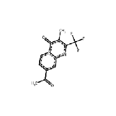 CC(=O)c1ccn2c(=O)c(C)c(C(F)(F)F)nc2c1